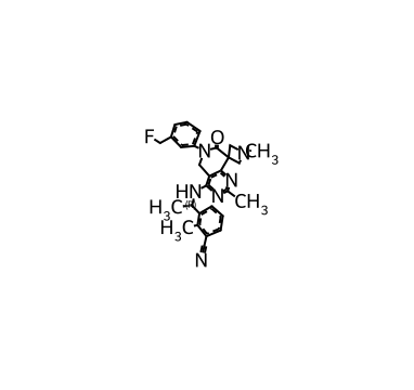 Cc1nc(N[C@H](C)c2cccc(C#N)c2C)c2c(n1)C1(CN(C)C1)C(=O)N(c1cccc(CF)c1)C2